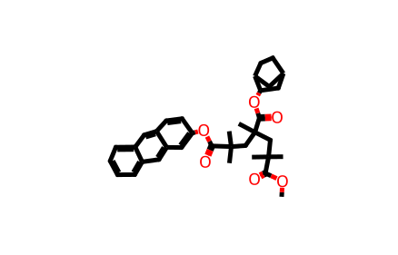 COC(=O)C(C)(C)CC(C)(CC(C)(C)C(=O)Oc1ccc2cc3ccccc3cc2c1)C(=O)OC1CC2CCC1C2